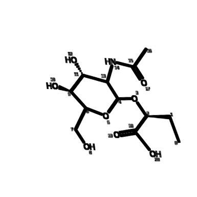 CC[C@H](OC1OC(CO)[C@@H](O)[C@H](O)C1NC(C)=O)C(=O)O